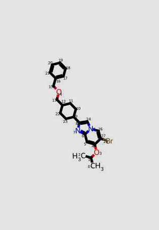 CC(C)Oc1cc2nc(C3CCC(COCc4ccccc4)CC3)cn2cc1Br